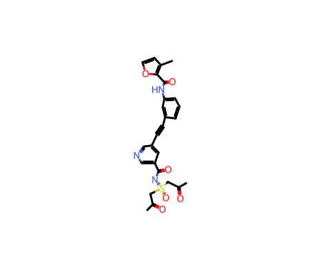 CC(=O)CS(=O)(CC(C)=O)=NC(=O)c1cncc(C#Cc2cccc(NC(=O)c3occc3C)c2)c1